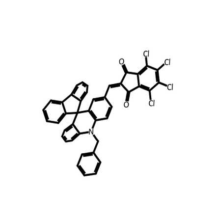 O=C1C(=Cc2ccc3c(c2)C2(c4ccccc4-c4ccccc42)c2ccccc2N3Cc2ccccc2)C(=O)c2c(Cl)c(Cl)c(Cl)c(Cl)c21